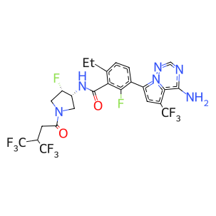 CCc1ccc(-c2cc(C(F)(F)F)c3c(N)ncnn23)c(F)c1C(=O)N[C@@H]1CN(C(=O)CC(C(F)(F)F)C(F)(F)F)C[C@@H]1F